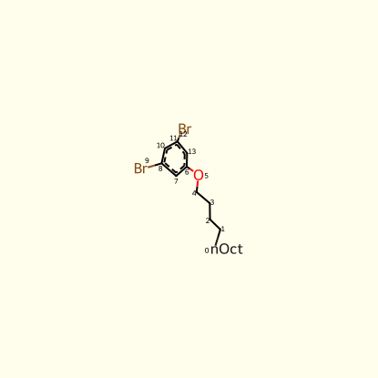 CCCCCCCCCCCCOc1cc(Br)cc(Br)c1